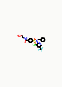 O=C(NCCO)c1ccc(S(=O)(=O)N(Cc2ccccc2)c2ncc(C(F)(F)F)cc2Cl)cc1